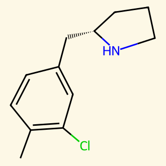 Cc1ccc(C[C@@H]2CCCN2)cc1Cl